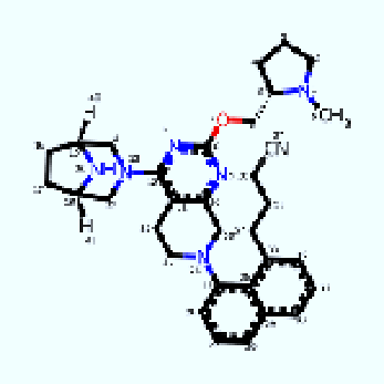 CN1CCC[C@H]1COc1nc2c(c(N3C[C@H]4CC[C@@H](C3)N4)n1)CCN(c1cccc3cccc(CCCC#N)c13)C2